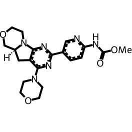 COC(=O)Nc1ccc(-c2nc(N3CCOCC3)c3c(n2)N2CCOC[C@@H]2C3)cn1